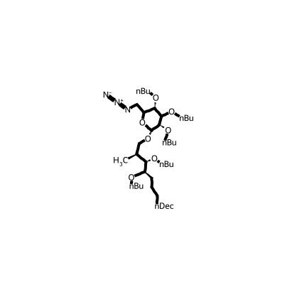 CCCCCCCCCCCCC[C@@H](OCCCC)[C@@H](OCCCC)[C@@H](C)CO[C@@H]1OC(CN=[N+]=[N-])[C@H](OCCCC)C(OCCCC)[C@@H]1OCCCC